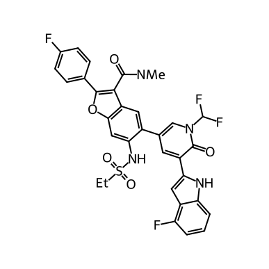 CCS(=O)(=O)Nc1cc2oc(-c3ccc(F)cc3)c(C(=O)NC)c2cc1-c1cc(-c2cc3c(F)cccc3[nH]2)c(=O)n(C(F)F)c1